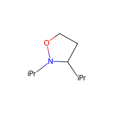 CC(C)C1CCON1C(C)C